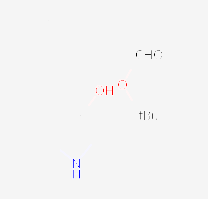 CC(C)(C)OC=O.OC1(CC2CC2)CNC1